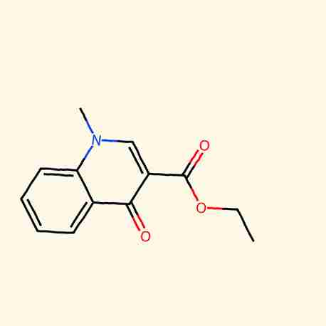 CCOC(=O)c1cn(C)c2ccccc2c1=O